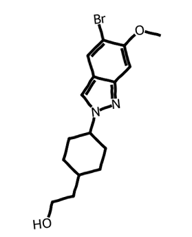 COc1cc2nn(C3CCC(CCO)CC3)cc2cc1Br